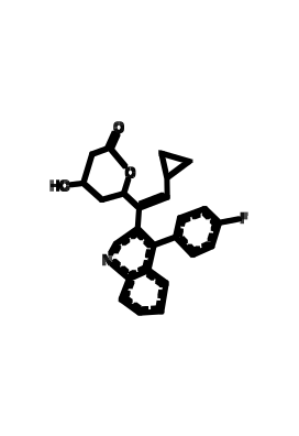 O=C1CC(O)CC(C(=CC2CC2)c2cnc3ccccc3c2-c2ccc(F)cc2)O1